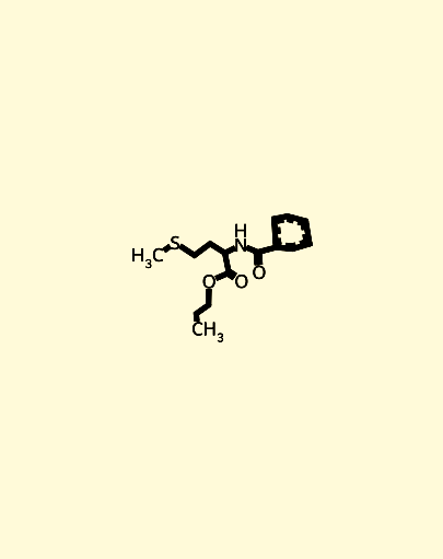 CCCOC(=O)C(CCSC)NC(=O)c1ccccc1